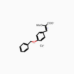 CO/C(=C\c1ccc(OCc2ccccc2)cc1)C(=O)[O-].[Cs+]